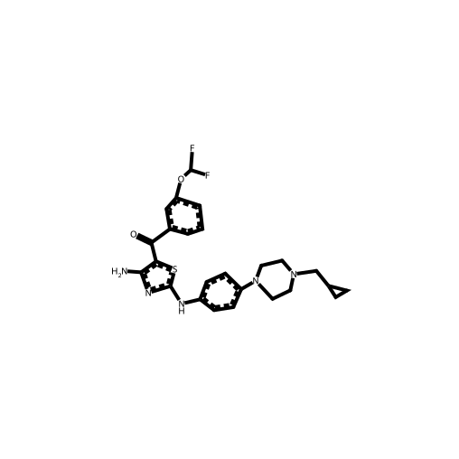 Nc1nc(Nc2ccc(N3CCN(CC4CC4)CC3)cc2)sc1C(=O)c1cccc(OC(F)F)c1